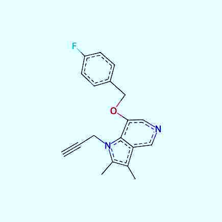 C#CCn1c(C)c(C)c2cncc(OCc3ccc(F)cc3)c21